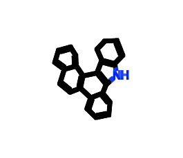 C1=Cc2[nH]c3c4ccccc4c4ccc5ccccc5c4c3c2CC1